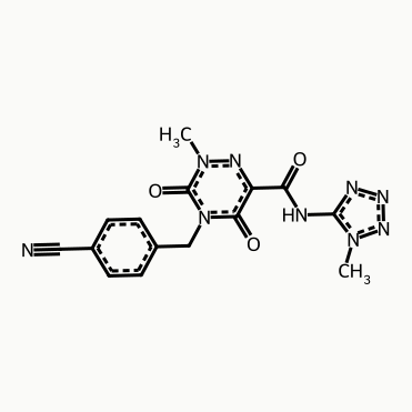 Cn1nnnc1NC(=O)c1nn(C)c(=O)n(Cc2ccc(C#N)cc2)c1=O